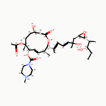 CC[C@H](O)C(C)[C@H]1O[C@@H]1CC(C)(O)/C=C/C=C(\C)[C@H]1OC(=O)C[C@H](O)CC[C@@](C)(OC(C)=O)[C@@H](OC(=O)N2CCN(C)CC2)/C=C/[C@@H]1C